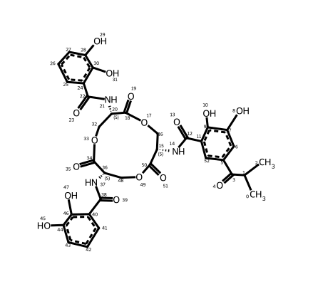 CC(C)C(=O)c1cc(O)c(O)c(C(=O)N[C@H]2COC(=O)[C@@H](NC(=O)c3cccc(O)c3O)COC(=O)[C@@H](NC(=O)c3cccc(O)c3O)COC2=O)c1